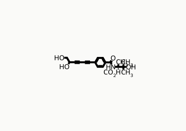 CC(C)(O)[C@](C)(NC(=O)c1ccc(C#CC#CC(O)CO)cc1)C(=O)O